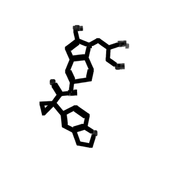 BC(CO)Cn1c(C(C)(C)C)cc2cc(NC(=O)C3(c4ccc5c(c4)CCO5)CC3)ccc21